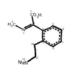 CN=C(C(=O)O)c1ccccc1CCNC